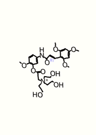 COc1cc(OC)c(/C=C/C(=O)Nc2ccc(OC)c(OC(=O)C[N+](CCO)(CCO)CCO)c2)c(OC)c1